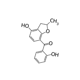 CC1Cc2c(O)ccc(C(=O)c3ccccc3O)c2O1